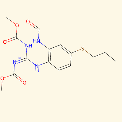 CCCSc1ccc(N/C(=N\C(=O)OC)NC(=O)OC)c(NC=O)c1